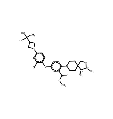 COC(=O)c1nc(Sc2ccc(N3CC(C(C)(C)O)C3)nc2Cl)cnc1N1CCC2(CC1)CO[C@@H](C)[C@H]2C